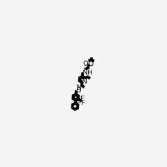 CCc1nc(/C(C)=N/OCc2ccc(C3CCCCC3)c(C(F)(F)F)c2)ccc1CNCCC(=O)OC(C)(C)C